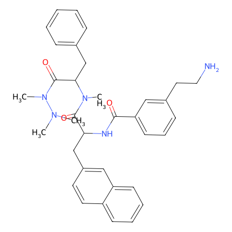 CN(C(=O)C(Cc1ccc2ccccc2c1)NC(=O)c1cccc(CCN)c1)C(Cc1ccccc1)C(=O)N(C)N(C)C